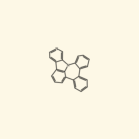 c1ccc2c(c1)-c1ccccc1-n1c3cnccc3c3cccc-2c31